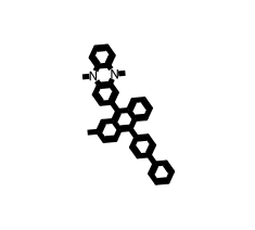 Cc1ccc2c(-c3ccc(-c4ccccc4)cc3)c3ccccc3c(-c3ccc4c(c3)N(C)c3ccccc3N4C)c2c1